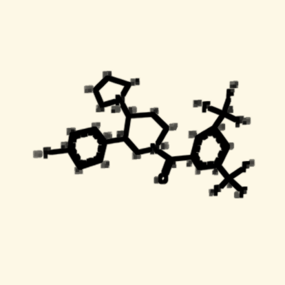 O=C(c1cc(C(F)(F)F)cc(C(F)(F)F)c1)N1CCC(N2CCCC2)C(c2ccc(F)cc2)C1